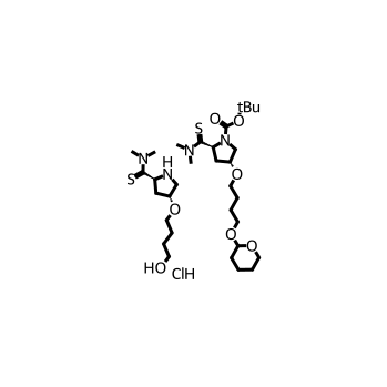 CN(C)C(=S)[C@@H]1C[C@@H](OCCCCO)CN1.CN(C)C(=S)[C@@H]1C[C@@H](OCCCCOC2CCCCO2)CN1C(=O)OC(C)(C)C.Cl